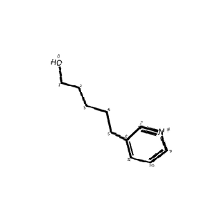 OCCCCCc1[c]nccc1